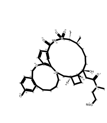 COCCN(C)C(=O)C[C@@]1(O)CCC[C@H](C)[C@@H](C)S(=O)(=O)NC(=O)c2ccc3c(c2)N(CCCCc2cc(Cl)ccc2CO3)C[C@@H]2CC[C@H]21